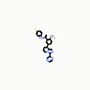 C=C(Nc1ccc(F)cc1)c1cc(-c2cccn3c(-c4cnccn4)ncc23)ccc1C(F)(F)F